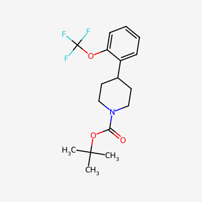 CC(C)(C)OC(=O)N1CCC(c2ccccc2OC(F)(F)F)CC1